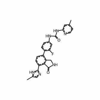 Cc1ccnc(NC(=O)Nc2ccc(-c3ccc(-c4ncc(C)[nH]4)c4c3CNC4=O)c(F)c2)c1